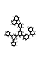 c1ccc(-c2nc(-c3ccccc3)nc(-c3cc(-c4cccc(-c5ccnc6ccccc56)c4)cc(-c4cccc(-c5ccnc6ccccc56)c4)c3)n2)cc1